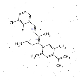 C=C(C)C1=CC(=C)N(/C(CCN)=C(C)/C=C/c2cccc(Cl)c2F)C=C1C